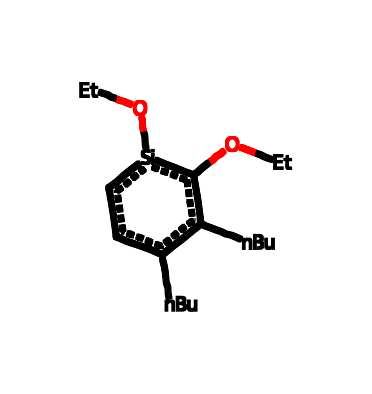 CCCCc1cc[si](OCC)c(OCC)c1CCCC